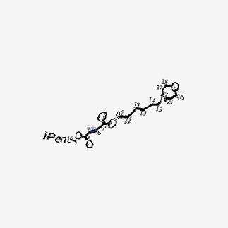 CCCC(C)COC(=O)/C=C/C(=O)OCCCCCCN1CCOCC1